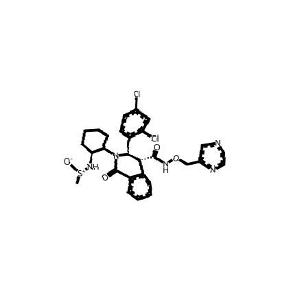 C[S+]([O-])N[C@H]1CCCCC1N1C(=O)c2ccccc2[C@@H](C(=O)NOCc2cnccn2)[C@@H]1c1ccc(Cl)cc1Cl